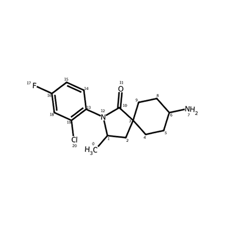 CC1CC2(CCC(N)CC2)C(=O)N1c1ccc(F)cc1Cl